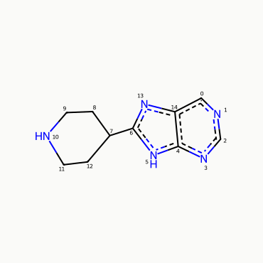 [c]1ncnc2[nH]c(C3CCNCC3)nc12